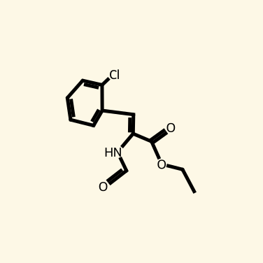 CCOC(=O)C(=Cc1ccccc1Cl)NC=O